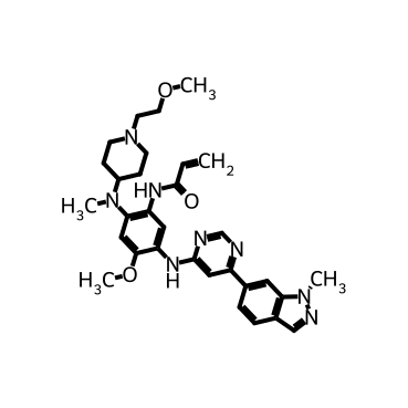 C=CC(=O)Nc1cc(Nc2cc(-c3ccc4cnn(C)c4c3)ncn2)c(OC)cc1N(C)C1CCN(CCOC)CC1